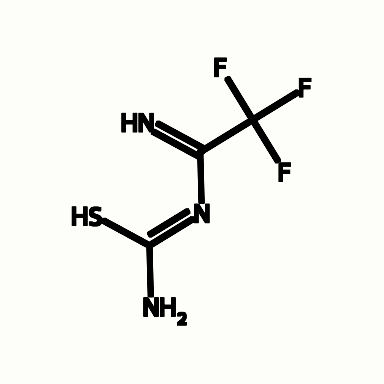 N=C(/N=C(/N)S)C(F)(F)F